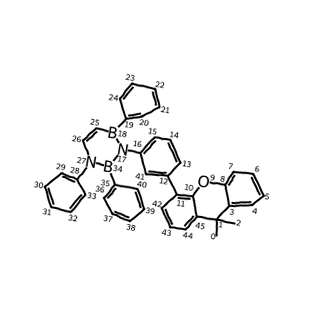 CC1(C)c2ccccc2Oc2c(-c3cccc(N4B(c5ccccc5)C=CN(c5ccccc5)B4c4ccccc4)c3)cccc21